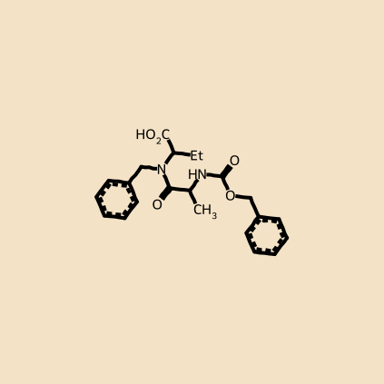 CCC(C(=O)O)N(Cc1ccccc1)C(=O)C(C)NC(=O)OCc1ccccc1